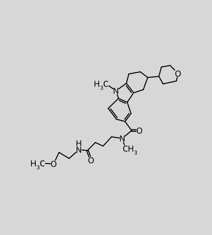 COCCNC(=O)CCCN(C)C(=O)c1ccc2c(c1)c1c(n2C)CCC(C2CCOCC2)C1